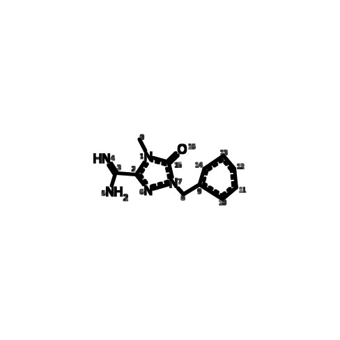 Cn1c(C(=N)N)nn(Cc2ccccc2)c1=O